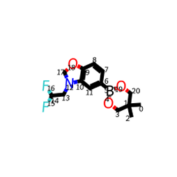 CC1(C)COB(c2ccc3c(c2)N(CC(F)F)CO3)OC1